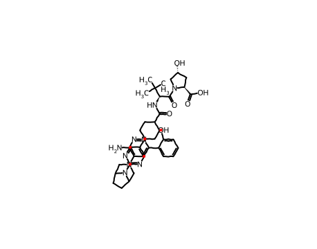 CC(C)(C)[C@H](NC(=O)C1CCC(c2cnc(N3C4CCC3CN(c3cc(-c5ccccc5O)nnc3N)C4)nc2)CC1)C(=O)N1C[C@H](O)C[C@H]1C(=O)O